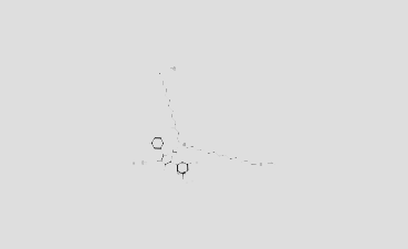 CCCCCCC1=C(c2cc(CCCC)cc(CCCC)c2)[N+](=[N-])C(c2cc(C)cc(C)c2)=C1CCCCC.CCCCCCCCCCCCCCCCCCCCCC[CH2][Ni][CH2]CCCCCCCCCCCCCCCCCCCCCC